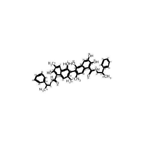 Cc1cc2c(O)c(-c3c(C)cc4c(C(=O)NCC(C)c5ccccc5)c(O)c(O)cc4c3O)c(C)cc2c(C(=O)NCC(C)c2ccccc2)c1O